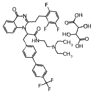 CCN(CC)CCNC(=O)C(Cc1ccc(-c2ccc(C(F)(F)F)cc2)cc1)n1c(CCc2c(F)ccc(F)c2F)nc(=O)c2ccccc21.O=C(O)C(O)C(O)C(=O)O